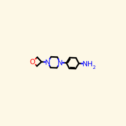 NC1C=CC(N2CCN(C3COC3)CC2)=CC1